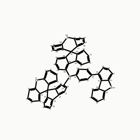 c1ccc2c(c1)Oc1ccccc1C21c2ccccc2-c2ccc(N(c3ccc(-c4cccc5sc6ccccc6c45)cc3)c3cccc4c3-c3ccccc3C43c4ccccc4Sc4ccccc43)cc21